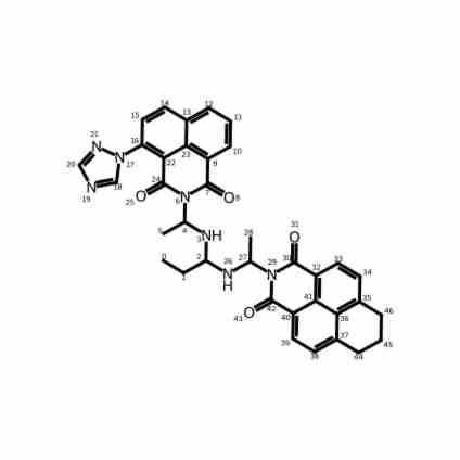 CCC(NC(C)N1C(=O)c2cccc3ccc(-n4cncn4)c(c23)C1=O)NC(C)N1C(=O)c2ccc3c4c(ccc(c24)C1=O)CCC3